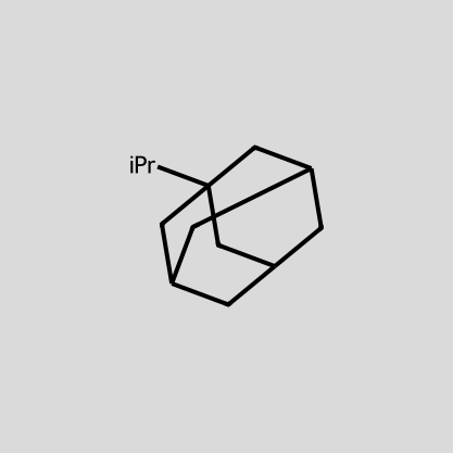 [CH2]C(C)C12CC3CC(CC(C3)C1)C2